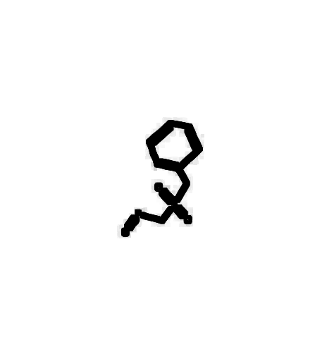 O=PCS(=O)(=O)Cc1ccccc1